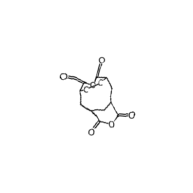 O=C1OC(=O)C2CCC1CC1CC(C2)C(=O)OC1=O